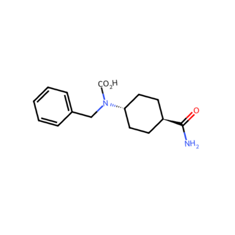 NC(=O)[C@H]1CC[C@H](N(Cc2ccccc2)C(=O)O)CC1